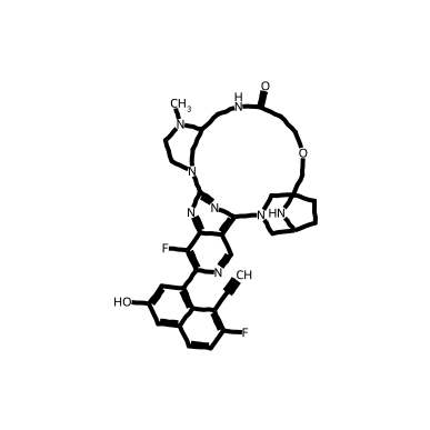 C#Cc1c(F)ccc2cc(O)cc(-c3ncc4c5nc(nc4c3F)N3CCN(C)C(CNC(=O)CCOCC46CCC(CN5C4)N6)C3)c12